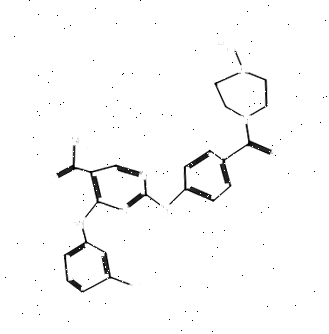 CN1CCN(C(=O)c2ccc(Nc3ncc(C(N)=O)c(Nc4cccc(Cl)c4)n3)cc2)CC1